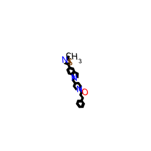 Cc1ncc(-c2ccc3c(ccn3CC3CCN(C(=O)CCc4ccccc4)CC3)c2)s1